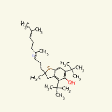 CC(C)=CCC/C(C)=C/CCC1(C)Cc2c(cc(C(C)(C)C)c(O)c2C(C)(C)C)S1